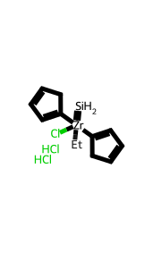 C[CH2][Zr](=[SiH2])([Cl])([C]1=CC=CC1)[C]1=CC=CC1.Cl.Cl